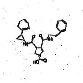 O=C(NCCc1ccccc1)C1CN(C(=O)O)CC1C(=O)NC1CC1c1ccccc1